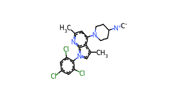 [C-]#[N+]C1CCN(c2cc(C)nc3c2c(C)cn3-c2c(Cl)cc(Cl)cc2Cl)CC1